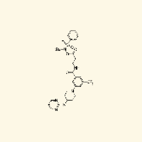 CC(C)(C)N(OC(=O)CCNC(=O)c1cc(N2CCC(Nc3ncccn3)CC2)cc(C(F)(F)F)c1)S(=O)(=O)c1ccccc1